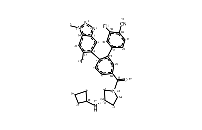 Cn1nnc2cc(-c3ccc(C(=O)N4CC[C@H](NC5CCC5)C4)cc3-c3ccc(C#N)c(F)c3)c(F)cc21